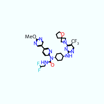 COc1ncc(-c2ccc(N(C(=O)NCC(F)F)[C@H]3CC[C@H](Nc4ncc(C(F)(F)F)c(N5CC6(CCCO6)C5)n4)CC3)nc2)cn1